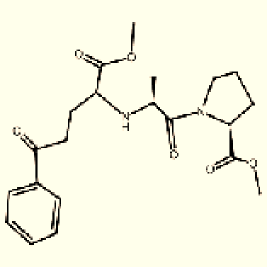 COC(=O)C(CCC(=O)c1ccccc1)N[C@@H](C)C(=O)N1CCC[C@H]1C(=O)OC